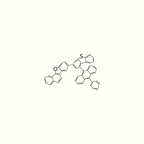 c1ccc(-c2c3ccccc3c(-c3cc(-c4ccc5oc6c7ccccc7ccc6c5c4)cc4sc5ccccc5c34)c3ccccc23)cc1